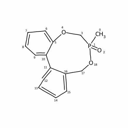 CP1(=O)COc2ccccc2-c2ccccc2CO1